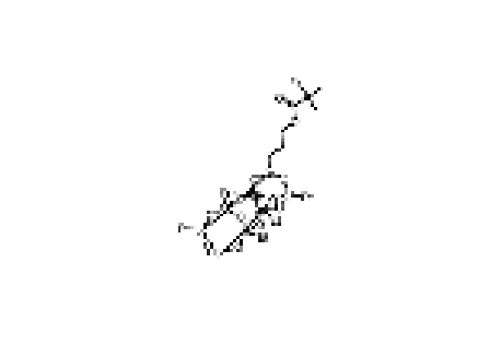 CCC(C)(C)C(=O)OCCC[Si]12O[SiH]3O[Si]4(CC)O[Si](CC)(O[SiH]5O[Si](CC)(O4)O[Si]3(CC)O[Si](CC)(O5)O1)O2